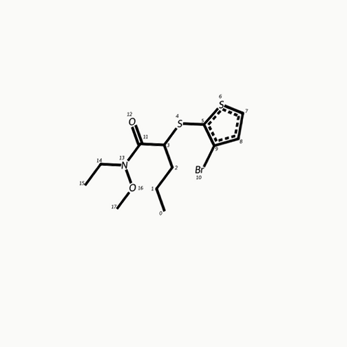 CCCC(Sc1sccc1Br)C(=O)N(CC)OC